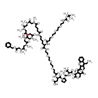 CCc1c2c(nc3ccccc13)-c1cc3c(c(=O)n1C2)COC(=O)[C@@]3(CC)OC(=O)[C@@H](NC(=O)[C@@H]1CCCN1C(=O)C(CC(=O)O)NC(=O)CCOCCOCCOCCNC(=O)C(CCCCNC(=O)CCCC(=O)N(C)CC(=O)N(C)CC(=O)N(C)CC(=O)N(C)CC(=O)N(C)CC(=O)N(C)CC(=O)N(C)CC(=O)N(C)CC(=O)OCc1ccccc1)NC(=O)CCOCCOCCOCCNC(=O)OC(C)(C)C)C(C)C